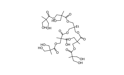 CCC(COC(=O)C(C)(CO)COC(=O)C(C)(CO)CO)(COC(=O)C(C)(CO)COC(=O)C(C)(CO)CO)COC(=O)C(C)(CO)COC(=O)C(C)(CO)CO